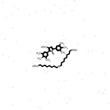 CCCCCCC1=C(c2cc(C)c(C)c(C)c2)[N+](=[N-])C(c2cc(C)c(C)c(C)c2)=C1.CCCCCCCCCCCCCCCCC[CH2][Ni][CH2]CCCCCCCCCCCCCCCCC